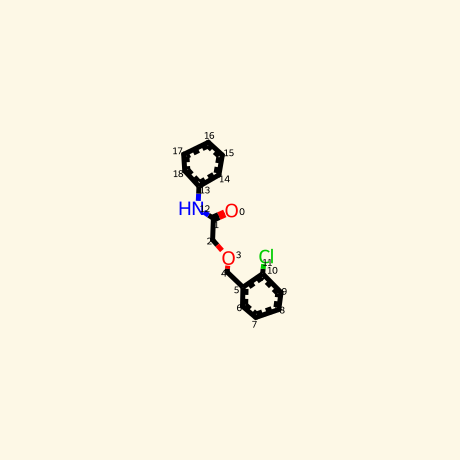 O=C(COCc1ccccc1Cl)Nc1ccccc1